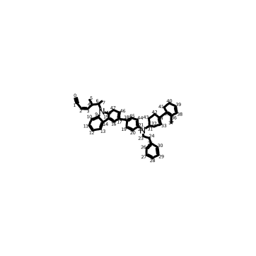 C#C/C=C\C(C)C(C)N1c2ccccc2C2=CC(c3ccc(N(CCc4ccccc4)C4CC=C(C5=C(C)C=CCC5)CC4)cc3)=CCC21